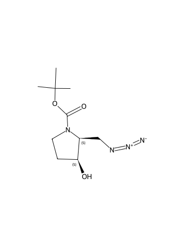 CC(C)(C)OC(=O)N1CC[C@H](O)[C@@H]1CN=[N+]=[N-]